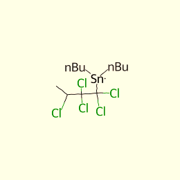 CCC[CH2][Sn]([CH2]CCC)[C](Cl)(Cl)C(Cl)(Cl)C(C)Cl